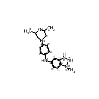 CC1CN(c2ccc(Nc3ccc4c(c3)NNN4C)cc2)CC(C)O1